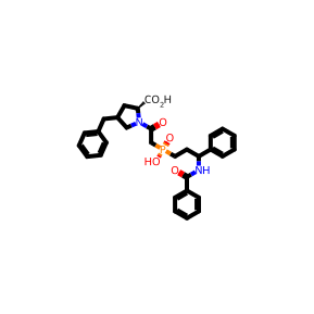 O=C(NC(CCP(=O)(O)CC(=O)N1CC(Cc2ccccc2)C[C@H]1C(=O)O)c1ccccc1)c1ccccc1